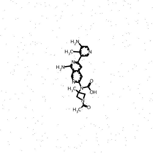 CC(=O)N1CC(C)(N(C(=O)O)c2cc3cc(-c4cncc(N)c4C)nc(N)c3cn2)C1